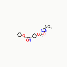 Cc1ccc(OCc2cc(-c3ccc(OC[C@@]4(C)Cn5cc([N+](=O)[O-])nc5O4)cc3)no2)cc1